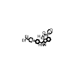 CCN(CC)C1CCN(c2ccc(-c3[nH]nc4c3C(=O)c3c-4cccc3N(C(N)=O)N3CCOCC3)cc2)CC1